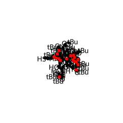 CC(C)(C)OC(=O)/N=C(/NCC1O[C@H](O[C@@H]2C(N/C(=N/C(=O)OC(C)(C)C)NC(=O)OC(C)(C)C)C[C@@H](N/C(=N\C(=O)OC(C)(C)C)NC(=O)OC(C)(C)C)C(O)C2O[C@@H]2O[C@H](CSCCOCCS)C(OC3OC(CN/C(=N\C(=O)OC(C)(C)C)NC(=O)OC(C)(C)C)C(O)C(O)C3N/C(=N\C(=O)OC(C)(C)C)NC(=O)OC(C)(C)C)[C@@H]2O)C(N/C(=N/C(=O)OC(C)(C)C)NC(=O)OC(C)(C)C)C(O)[C@@H]1O)NC(=O)OC(C)(C)C